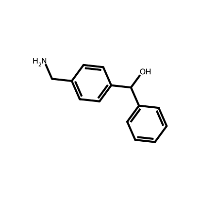 NCc1ccc(C(O)c2ccccc2)cc1